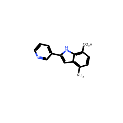 O=C(O)c1ccc([N+](=O)[O-])c2cc(-c3cccnc3)[nH]c12